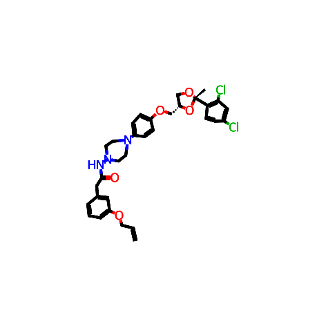 C=CCOc1cccc(CC(=O)NN2CCN(c3ccc(OC[C@@H]4CO[C@](C)(c5ccc(Cl)cc5Cl)O4)cc3)CC2)c1